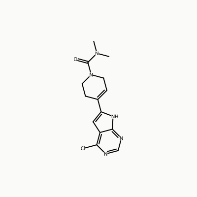 CN(C)C(=O)N1CC=C(c2cc3c(Cl)ncnc3[nH]2)CC1